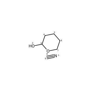 C#N.OC1CCCCO1